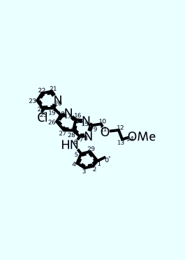 [CH2]c1cccc(Nc2nc(COCCOC)nc3nc(-c4ncccc4Cl)ccc23)c1